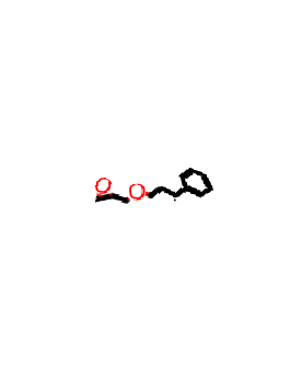 [CH](CCOCC1CO1)c1ccccc1